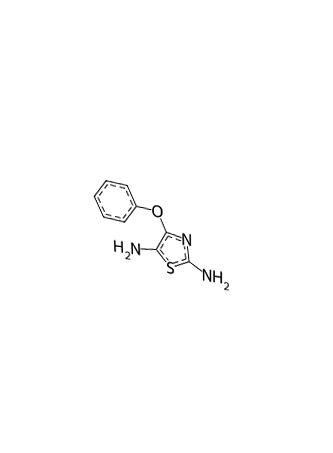 Nc1nc(Oc2ccccc2)c(N)s1